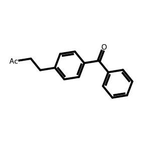 CC(=O)CCc1ccc(C(=O)c2ccccc2)cc1